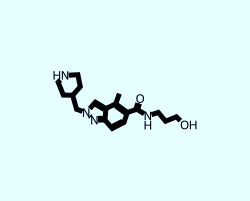 Cc1c(C(=O)NCCCO)ccc2nn(CC3CCNCC3)cc12